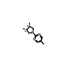 Cc1cnc(N2C[C@@H](C)[C@@H](C)C2)nc1